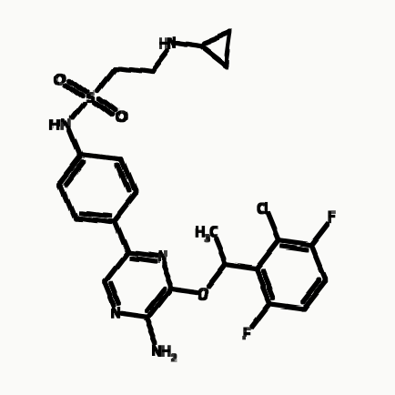 CC(Oc1nc(-c2ccc(NS(=O)(=O)CCNC3CC3)cc2)cnc1N)c1c(F)ccc(F)c1Cl